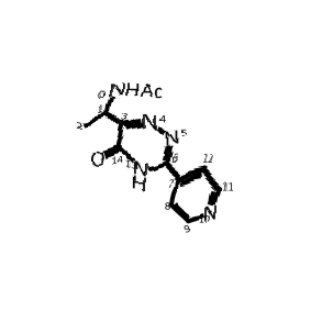 CC(=O)NC(C)c1nnc(-c2ccncc2)[nH]c1=O